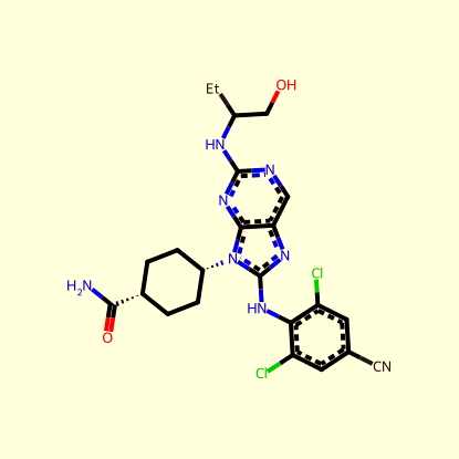 CCC(CO)Nc1ncc2nc(Nc3c(Cl)cc(C#N)cc3Cl)n([C@H]3CC[C@@H](C(N)=O)CC3)c2n1